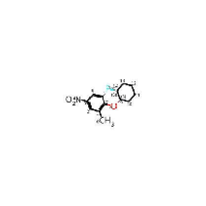 Cc1cc([N+](=O)[O-])ccc1O[C@H]1CCCC[C@@H]1F